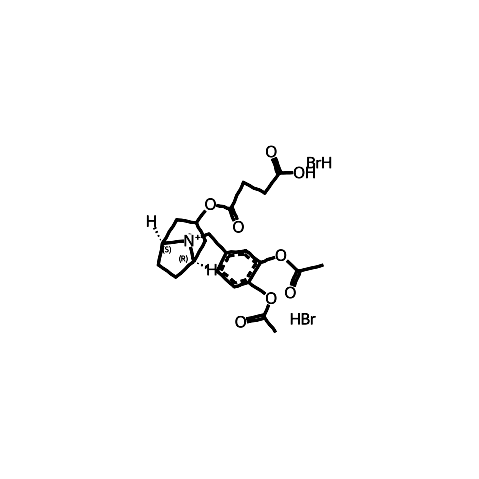 Br.Br.CC(=O)Oc1ccc(C[N+]2(C)[C@@H]3CC[C@H]2CC(OC(=O)CCC(=O)O)C3)cc1OC(C)=O